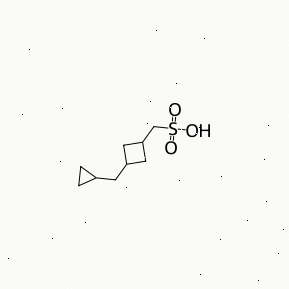 O=S(=O)(O)CC1CC(CC2CC2)C1